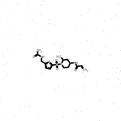 C=CC(=O)NC1CCN(S(=O)(=O)c2ccc(CNC(C)=O)s2)C(C)C1